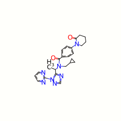 CC(c1ncnn1-c1ncccn1)N(CC1CC1)C(=O)c1ccc(N2CCCCC2=O)cc1